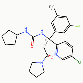 O=C(NC1CCCC1)N[C@@](CC(=O)N1CCCC1)(c1cc(F)cc(C(F)(F)F)c1)c1ccc(Cl)cn1